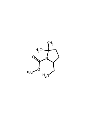 CC(C)(C)OC(=O)N1C(CN)CCC1(C)C